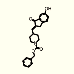 O=C1/C(=C/C2CCN(C(=O)OCc3ccccc3)CC2)Cc2ccc(O)cc21